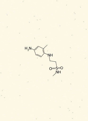 CNS(=O)(=O)CCNc1ccc(N)cc1C